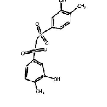 Cc1ccc(S(=O)(=O)CS(=O)(=O)c2ccc(C)c(O)c2)cc1O